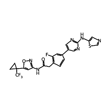 O=C(Cc1ccc(-c2cnc(Nc3cncs3)nc2)cc1F)Nc1cc(C2(C(F)(F)F)CC2)on1